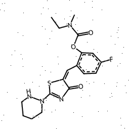 CCN(C)C(=O)Oc1cc(F)ccc1/C=C1/SC(N2CCCCN2)=NC1=O